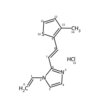 C=Cn1ccnc1C=Cc1sccc1C.Cl